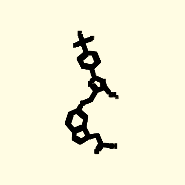 Cc1nn(-c2ccc(C(F)(F)F)cc2)nc1COc1ccc2ccn(CC(=O)O)c2c1